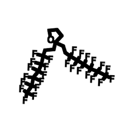 FC(F)(F)C(F)(F)C(F)(F)C(F)(F)C(F)(F)C(F)(F)CCC1(CCC(F)(F)C(F)(F)C(F)(F)C(F)(F)C(F)(F)C(F)(F)F)CCCO1